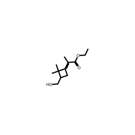 CCOC(=O)/C(C)=C1\CC(CO)C1(C)C